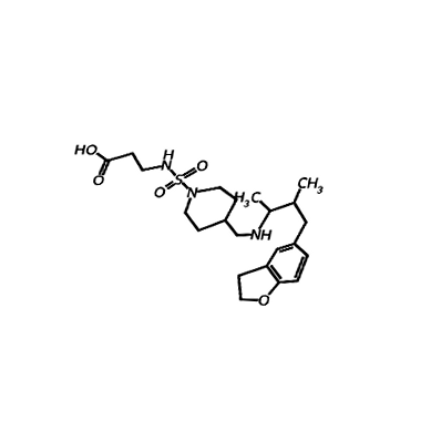 CC(Cc1ccc2c(c1)CCO2)C(C)NCC1CCN(S(=O)(=O)NCCC(=O)O)CC1